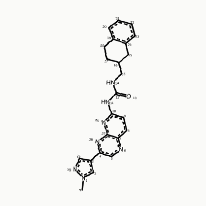 Cn1cc(-c2cnc3ccc(NC(=O)NCC4CCc5ccccc5C4)nc3n2)cn1